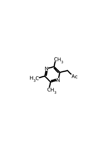 CC(=O)Cc1nc(C)c(C)nc1C